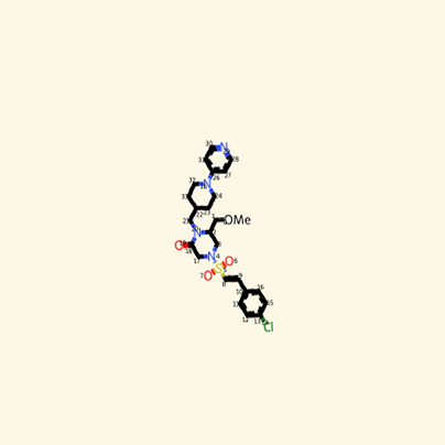 COCC1CN(S(=O)(=O)C=Cc2ccc(Cl)cc2)CC(=O)N1CC1CCN(c2ccncc2)CC1